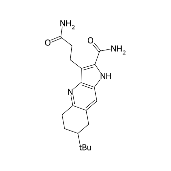 CC(C)(C)C1CCc2nc3c(CCC(N)=O)c(C(N)=O)[nH]c3cc2C1